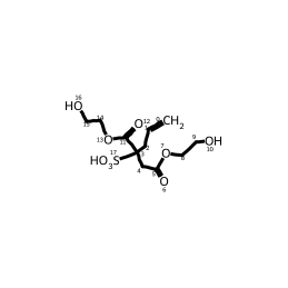 C=CCC(CC(=O)OCCO)(C(=O)OCCO)S(=O)(=O)O